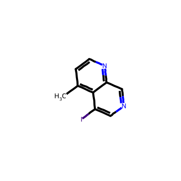 Cc1ccnc2cncc(I)c12